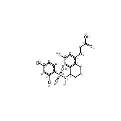 CN(C1CCCc2c(OCC(=O)O)cc(F)cc21)S(=O)(=O)c1ccc(Cl)cc1Cl